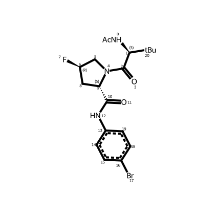 CC(=O)N[C@H](C(=O)N1C[C@H](F)C[C@H]1C(=O)Nc1ccc(Br)cc1)C(C)(C)C